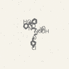 CS(=O)(=O)O.C[N+](C)(CCOCc1ccc(Cl)cc1)Cc1cnc(C(O)(c2ccccc2)C2CCCCC2)o1